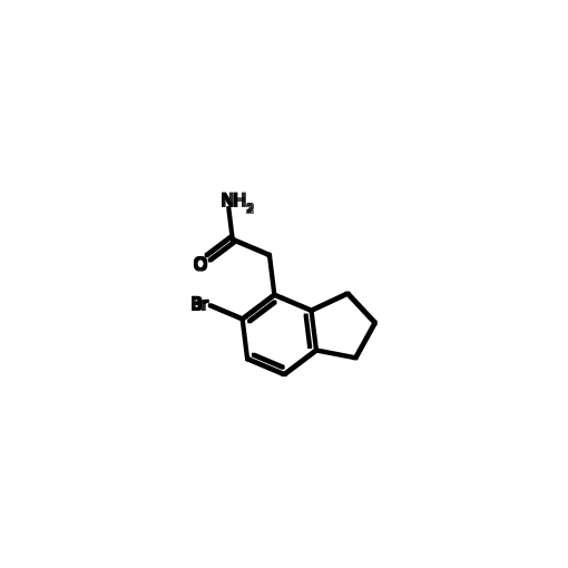 NC(=O)Cc1c(Br)ccc2c1CCC2